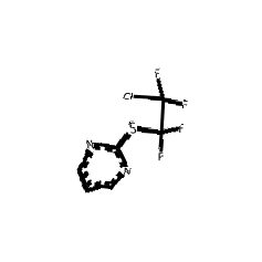 FC(F)(Cl)C(F)(F)Sc1ncccn1